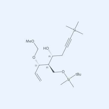 C=C[C@H](OCOC)[C@H](CO[Si](C)(C)C(C)(C)C)[C@H](O)CC#C[Si](C)(C)C